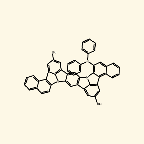 CC(C)(C)c1cc2c3cc4c(cc3n3c5ccc6ccccc6c5c(c1)c23)c1cc(C(C)(C)C)cc2c3c5ccccc5cc(N(c5ccccc5)c5ccccc5)c3n4c12